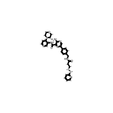 Nc1ncc(-c2ccc(CNC(=O)CCSSc3ccccn3)cc2)nc1C(=O)Nc1cnccc1N1CCOCC1